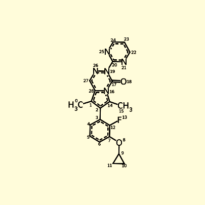 Cc1c(-c2cccc(OC3CC3)c2F)c(C)n2c(=O)n(-c3ncccn3)ncc12